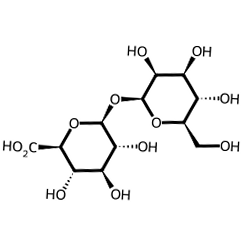 O=C(O)[C@H]1O[C@@H](O[C@@H]2O[C@H](CO)[C@@H](O)[C@H](O)[C@@H]2O)[C@H](O)[C@@H](O)[C@@H]1O